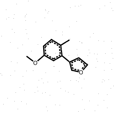 COc1ccc(C)c(-c2ccoc2)c1